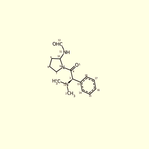 CN(C)[C@@H](C(=O)N1CCCC1NC=O)c1ccccc1